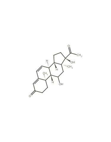 CC(=O)[C@@]1(O)CC[C@H]2[C@@H]3C=CC4=CC(=O)CC[C@]4(C)[C@H]3C(O)C[C@@]21C